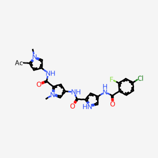 CC(=O)c1cc(NC(=O)c2cc(NC(=O)c3cc(NC(=O)c4ccc(Cl)cc4F)c[nH]3)cn2C)cn1C